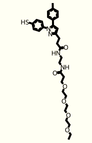 CCOCCOCCOCCOCCC(=O)NCCNC(=O)CCc1cc(-c2ccc(C)cc2)n(-c2ccc(S)cc2)n1